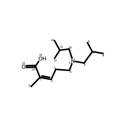 CC(=CCCN(CC(C)C)CC(C)C)C(=O)O